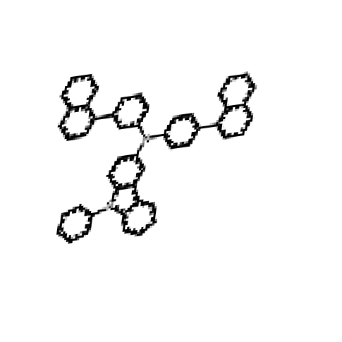 c1ccc(-n2c3ccccc3c3cc(N(c4ccc(-c5cccc6ccccc56)cc4)c4cccc(-c5cccc6ccccc56)c4)ccc32)cc1